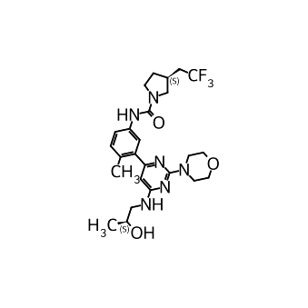 Cc1ccc(NC(=O)N2CC[C@@H](CC(F)(F)F)C2)cc1-c1cc(NC[C@H](C)O)nc(N2CCOCC2)n1